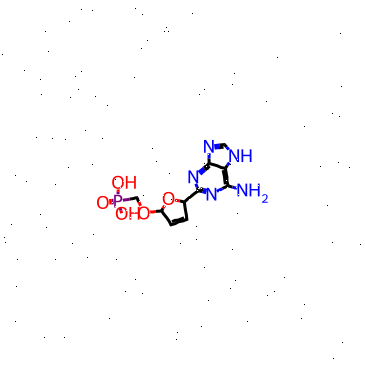 Nc1nc(C2C=CC(OCP(=O)(O)O)O2)nc2nc[nH]c12